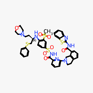 CS(=O)(=O)c1cc(S(=O)(=O)NC(=O)c2cccc(N3CCc4cccc(C(=O)Nc5nc6ccccc6s5)c4C3)n2)ccc1N[C@H](CCN1CCOCC1)CSc1ccccc1